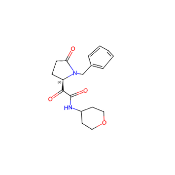 O=C(NC1CCOCC1)C(=O)[C@H]1CCC(=O)N1Cc1ccccc1